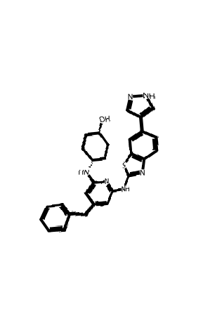 O[C@H]1CC[C@H](Nc2cc(Cc3ccccc3)cc(Nc3nc4ccc(-c5cn[nH]c5)cc4s3)n2)CC1